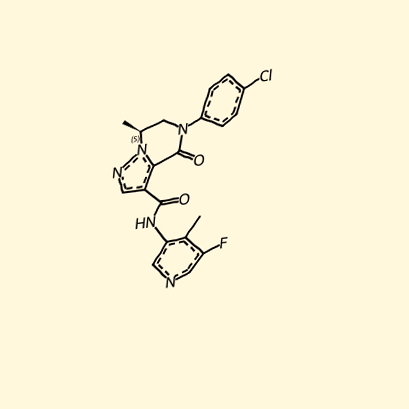 Cc1c(F)cncc1NC(=O)c1cnn2c1C(=O)N(c1ccc(Cl)cc1)C[C@@H]2C